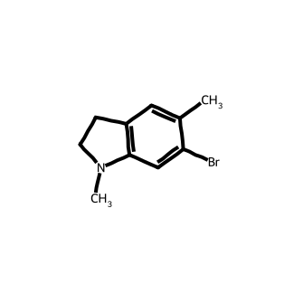 Cc1cc2c(cc1Br)N(C)CC2